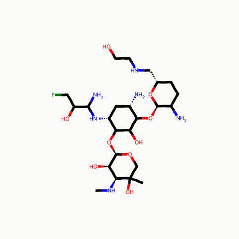 CN[C@H]1[C@@H](O)[C@@H](OC2C(O)C(O[C@H]3O[C@H](CNCCO)CCC3N)[C@@H](N)C[C@H]2NC(N)C(O)CF)OCC1(C)O